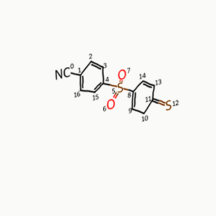 N#Cc1ccc(S(=O)(=O)C2=CCC(=S)C=C2)cc1